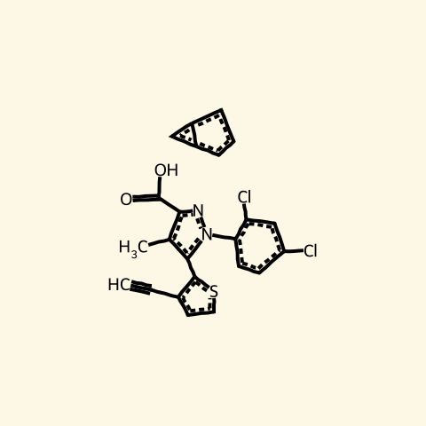 C#Cc1ccsc1-c1c(C)c(C(=O)O)nn1-c1ccc(Cl)cc1Cl.c1cc2cc-2c1